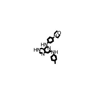 Cc1ccc(Nc2cc3c(c(Nc4ccc(N5CCOCC5)cc4)n2)CNC=N3)cc1